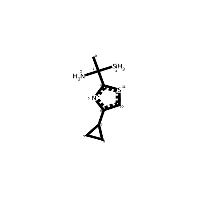 CC(N)([SiH3])c1nc(C2CC2)cs1